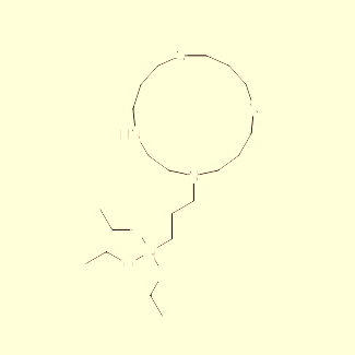 CCO[Si](CCCN1CCCNCCCNCCCNCC1)(OCC)OCC